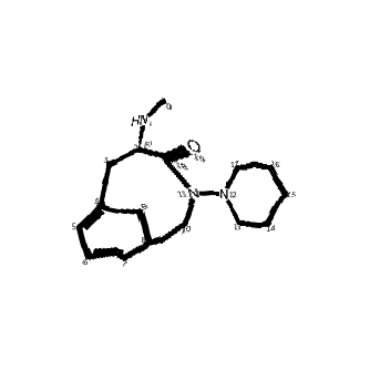 CN[C@@H]1CC2=CC=CC(C2)CN(N2CCCCC2)C1=O